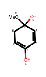 COC1(O)C=CC(O)=CC1